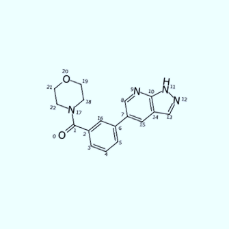 O=C(c1cccc(-c2cnc3[nH]ncc3c2)c1)N1CCOCC1